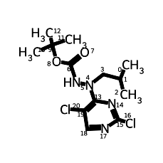 CC(C)CN(NC(=O)OC(C)(C)C)c1nc(Cl)ncc1Cl